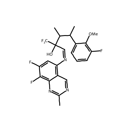 COc1c(F)cccc1C(C)C(C)C(O)(C=Nc1cc(F)c(F)c2nc(C)ncc12)C(F)(F)F